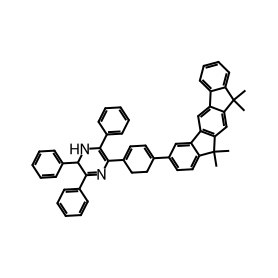 CC1(C)c2ccccc2-c2cc3c(cc21)C(C)(C)c1ccc(C2=CC=C(C4=C(c5ccccc5)NC(c5ccccc5)C(c5ccccc5)=N4)CC2)cc1-3